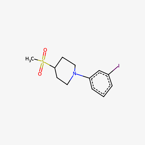 CS(=O)(=O)C1CCN(c2cccc(I)c2)CC1